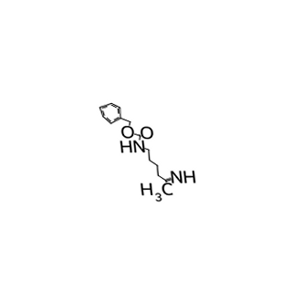 CC(=N)CCCCNC(=O)OCc1ccccc1